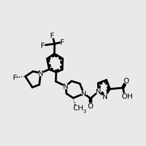 C[C@@H]1CN(Cc2ccc(C(F)(F)F)cc2N2CC[C@H](F)C2)CCN1C(=O)n1ccc(C(=O)O)n1